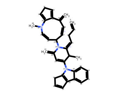 C=CC/C=C1/C(C)C(n2c3c(c4ccccc42)C=CC3)=CC(=C)N1C1C=CN(C)C2=CCC=C2C(=C)/C=C\1